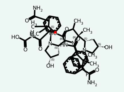 CC1C[C@H]([C@@H]2C[C@H](O)CN2[C@]2(C(=O)NC(=O)O)c3ccc(cc3)C(C(N)=O)C2(C)C)N(c2ccc(F)cc2)[C@@]1(C)[C@@H]1C[C@H](O)CN1[C@]1(C(=O)NC(=O)O)c2ccc(cc2)C(C(N)=O)C1(C)C